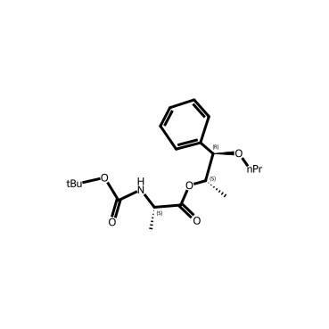 CCCO[C@H](c1ccccc1)[C@H](C)OC(=O)[C@H](C)NC(=O)OC(C)(C)C